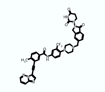 Cc1ccc(C(=O)Nc2ccc(N3CCN(Cc4ccc5c(c4)CN(N4CCC(=O)NC4=O)C5=O)CC3)c(C(F)(F)F)c2)cc1C#Cc1cnc2cccnn12